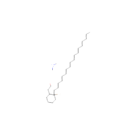 CCCCCCCCCCCCCCCCCCC1(Br)CCCCC1CCO.CNC